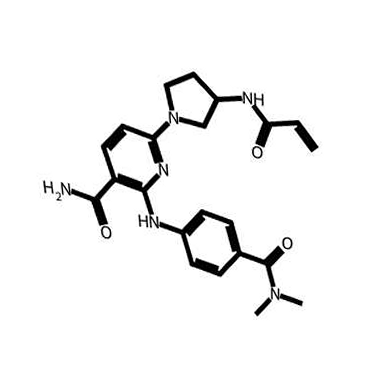 C=CC(=O)NC1CCN(c2ccc(C(N)=O)c(Nc3ccc(C(=O)N(C)C)cc3)n2)C1